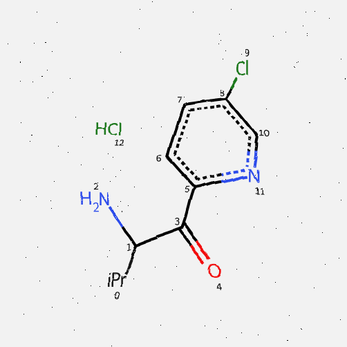 CC(C)C(N)C(=O)c1ccc(Cl)cn1.Cl